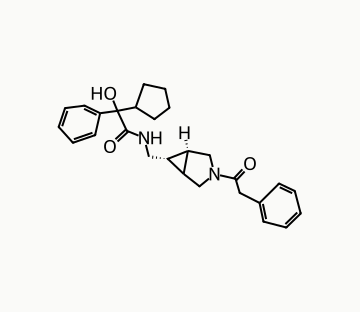 O=C(Cc1ccccc1)N1CC2[C@H](CNC(=O)C(O)(c3ccccc3)C3CCCC3)[C@H]2C1